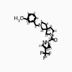 Cc1cccc(CN2CCC3(CCN(C(=O)n4cc(C(F)(F)F)cn4)C3)C2)c1